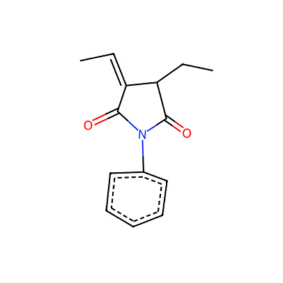 C/C=C1\C(=O)N(c2ccccc2)C(=O)C1CC